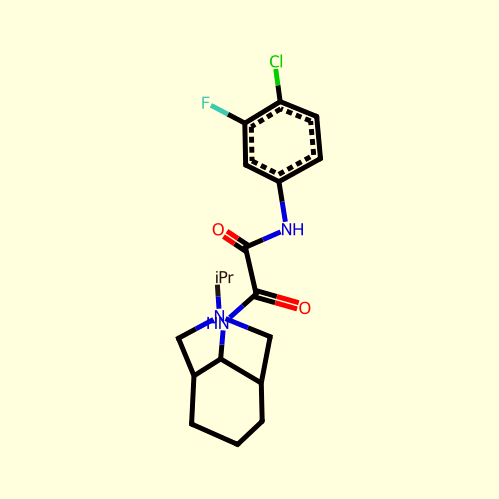 CC(C)N1CC2CCCC(C1)C2NC(=O)C(=O)Nc1ccc(Cl)c(F)c1